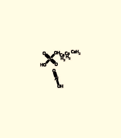 O=S(=O)(O)O.[CaH2].[CaH2].[CaH2].[O]=[Al][OH]